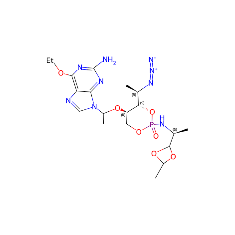 CCOc1nc(N)nc2c1ncn2C(C)O[C@@H]1COP(=O)(N[C@@H](C)C2OC(C)O2)O[C@H]1[C@@H](C)N=[N+]=[N-]